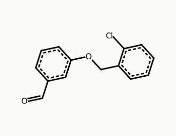 O=Cc1cccc(OCc2ccccc2Cl)c1